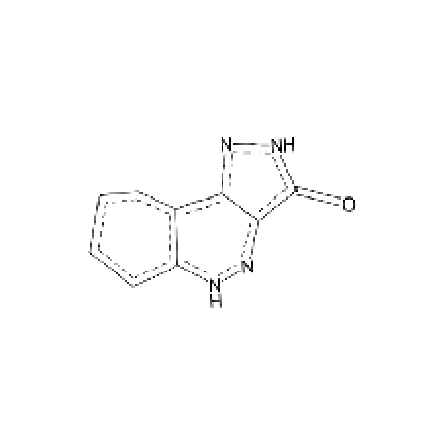 O=c1[nH]nc2c3ccccc3[nH]nc1-2